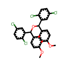 COc1ccc(C(OC(c2ccc(OC)cc2)c2cc(Cl)ccc2Cl)c2cc(Cl)ccc2Cl)cc1